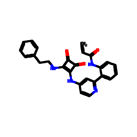 C=CC(=O)Nc1ccccc1-c1cc(Nc2c(NCCc3ccccc3)c(=O)c2=O)ccn1